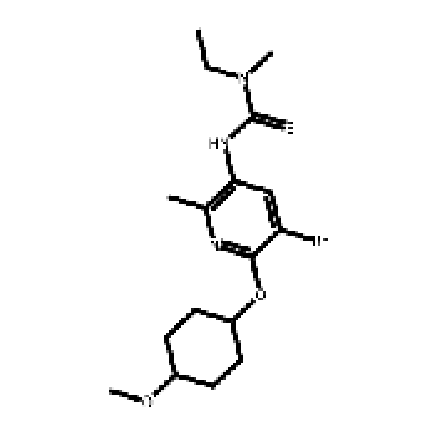 CCN(C)C(=S)Nc1cc(Br)c(OC2CCC(OC)CC2)nc1C